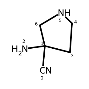 N#CC1(N)CCNC1